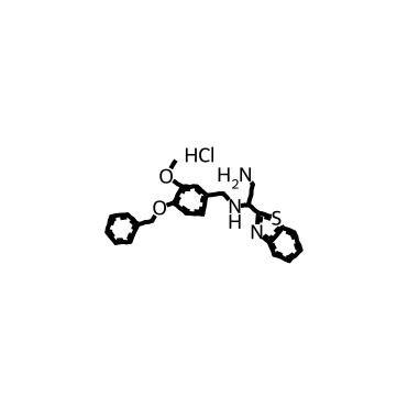 COc1cc(CNC(CN)c2nc3ccccc3s2)ccc1OCc1ccccc1.Cl